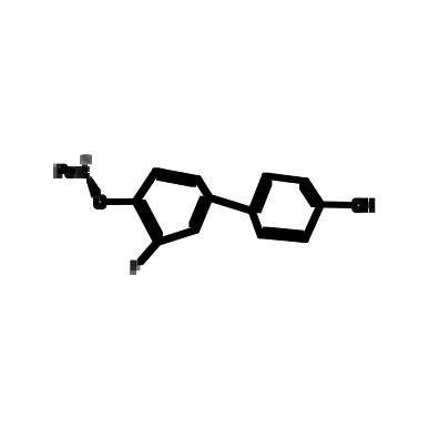 CCC[C@H](C)Oc1ccc(-c2ccc(O)cc2)cc1F